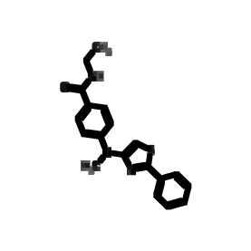 CCNC(=O)c1ccc(N(C)c2csc(-c3ccccc3)n2)cc1